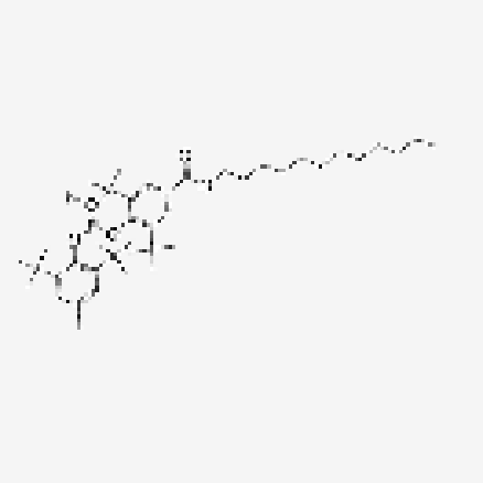 CCCCCCCCCCCCOC(=O)c1cc(C(C)(C)C)c(OP(OF)Oc2c(C(C)(C)C)cc(C)cc2C(C)(C)C)c(C(C)(C)C)c1